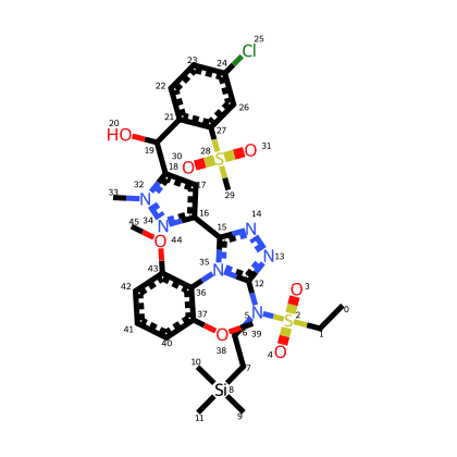 CCS(=O)(=O)N(CC[Si](C)(C)C)c1nnc(-c2cc(C(O)c3ccc(Cl)cc3S(C)(=O)=O)n(C)n2)n1-c1c(OC)cccc1OC